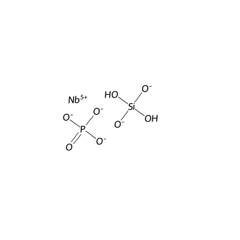 O=P([O-])([O-])[O-].[Nb+5].[O-][Si]([O-])(O)O